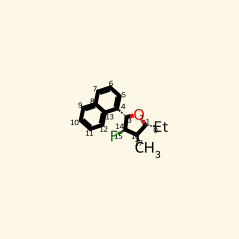 CC[C@H]1O[C@@H](c2cccc3ccccc23)[C@H](F)[C@@H]1C